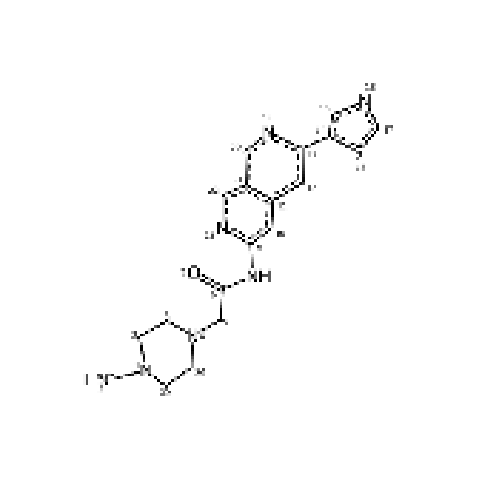 CN1CCN(CC(=O)Nc2cc3cc(-c4cncs4)ncc3cn2)CC1